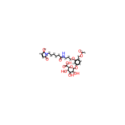 CC(=O)OCc1ccc(O[C@@H]2O[C@H](C(=O)O)[C@@H](O)[C@H](O)[C@H]2O)cc1OCCCNC(=O)CCCCCN1C(=O)C=CC1=O